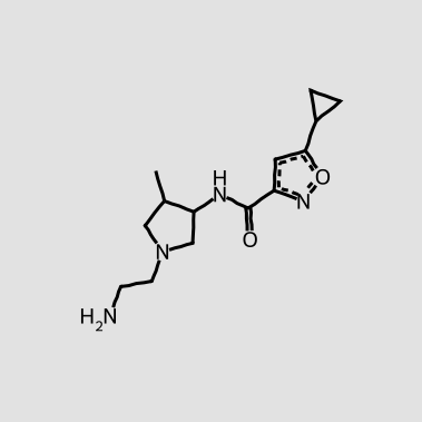 CC1CN(CCN)CC1NC(=O)c1cc(C2CC2)on1